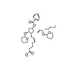 CCCCC[C@@H](/C=C/[C@@H]1[C@@H](C/C=C\CCCC(=O)OC)[C@@H](OC2CCCCO2)C[C@H]1OC(=O)c1ccccc1)OC1CCCCO1